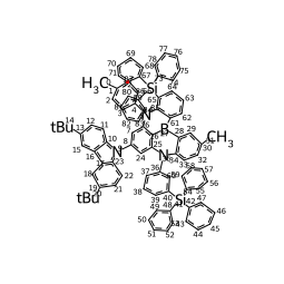 Cc1ccc(N2c3cc(-n4c5ccc(C(C)(C)C)cc5c5cc(C(C)(C)C)ccc54)cc4c3B(c3cc(C)ccc3N4c3cccc([Si](c4ccccc4)(c4ccccc4)c4ccccc4)c3)c3cccc([Si](c4ccccc4)(c4ccccc4)c4ccccc4)c32)cc1